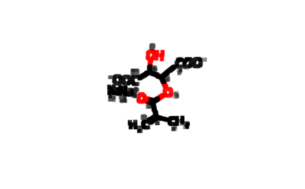 C=C(C)C(=O)OC(C(=O)[O-])C(O)C(=O)[O-].[Na+].[Na+]